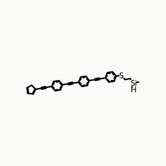 C[SiH](C)CCSc1ccc(C#Cc2ccc(C#Cc3ccc(C#CC4=CC=CC4)cc3)cc2)cc1